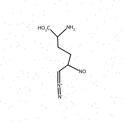 [N-]=[N+]=CC(CCC(N)C(=O)O)N=O